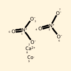 O=[N+]([O-])[O-].O=[N+]([O-])[O-].[Ca+2].[Co]